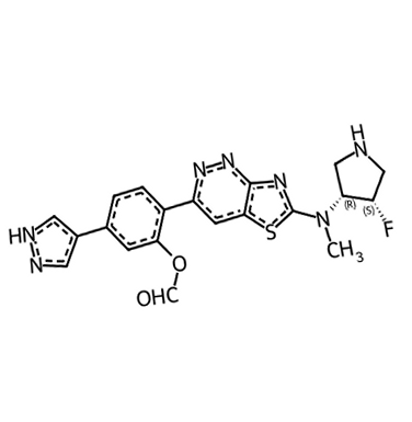 CN(c1nc2nnc(-c3ccc(-c4cn[nH]c4)cc3OC=O)cc2s1)[C@@H]1CNC[C@@H]1F